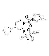 C[n+]1ccn(S(=O)(=O)N2CCC(C3CCCC3)CC2)c1.O=S(=O)(O)C(F)(F)F